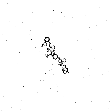 CCOc1ccccc1CCC(=O)Nc1sc2c(c1C#N)CCC(COC(=O)NCc1cc(C)on1)C2